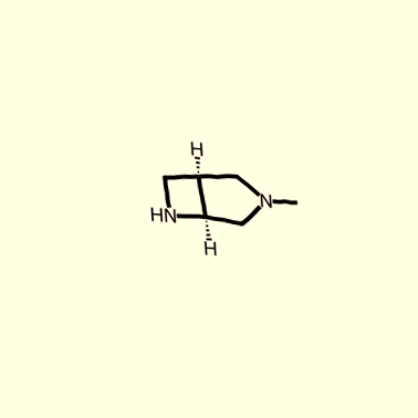 CN1C[C@@H]2CN[C@@H]2C1